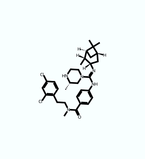 C[C@H]1[C@@H](N=C(Nc2ccc(C(=O)N(C)CCc3ccc(Cl)cc3Cl)cc2)N2CCN[C@@H](C)C2)C[C@@H]2C[C@@H]1C2(C)C